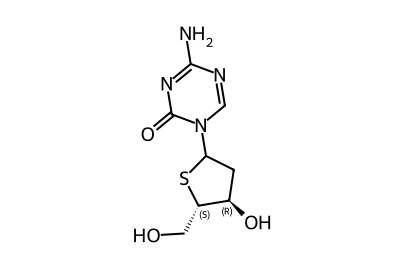 Nc1ncn(C2C[C@@H](O)[C@H](CO)S2)c(=O)n1